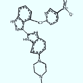 CN1CCN(c2ccc3nc(-c4n[nH]c5cccc(Oc6ccc([N+](=O)[O-])cn6)c45)[nH]c3c2)CC1